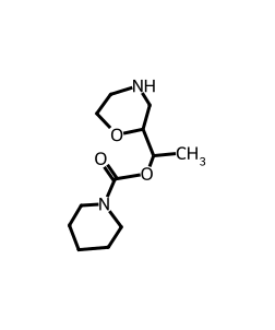 CC(OC(=O)N1CCCCC1)C1CNCCO1